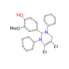 CCC1=C(CC)N(c2ccccc2)C(c2ccc(O)c(OC)c2)N(c2ccccc2)C1